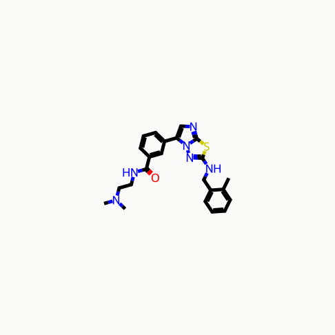 Cc1ccccc1CNc1nn2c(-c3cccc(C(=O)NCCN(C)C)c3)cnc2s1